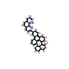 c1ccc2c(c1)ccc1oc3ccc4c5ccc(-c6ccc7ccc8cccnc8c7n6)cc5c5ccccc5c4c3c12